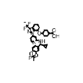 O=C(O)c1ccc(O[C@H]2CCCc3c(C(F)(F)F)nn(-c4ccnc(NC(c5ccc6c(c5)OC(F)(F)O6)C5CC5)c4)c32)cc1